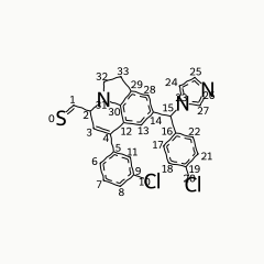 S=CC1C=C(c2cccc(Cl)c2)c2cc(C(c3ccc(Cl)cc3)n3ccnc3)cc3c2N1CC3